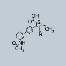 CCc1sc(C(=O)O)c(-c2ccc(-c3cccc(NC(C)=O)c3)cc2)c1C#N